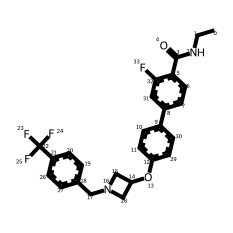 CCNC(=O)c1ccc(-c2ccc(OC3CN(Cc4ccc(C(F)(F)F)cc4)C3)cc2)cc1F